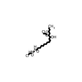 CCCCCC(OC(=O)CCl)C(O)C/C=C\CCCCCCCC(=O)NCNC(=O)CCl